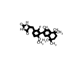 COc1ccc(/C=C2/NC(=O)NC2=O)c(F)c1-c1cc2c(cc1C)C(C)(C)CCC2(C)C